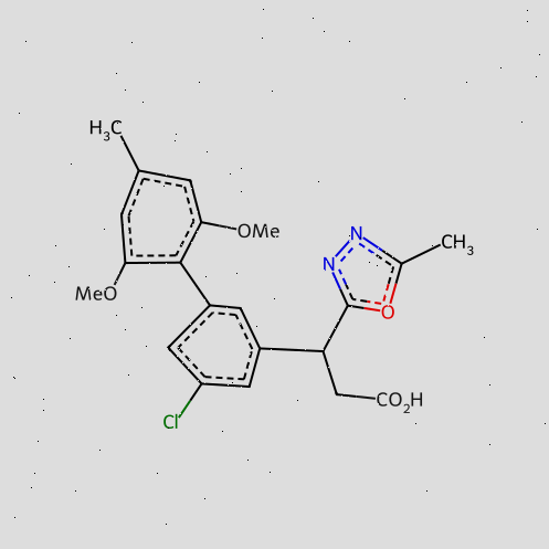 COc1cc(C)cc(OC)c1-c1cc(Cl)cc(C(CC(=O)O)c2nnc(C)o2)c1